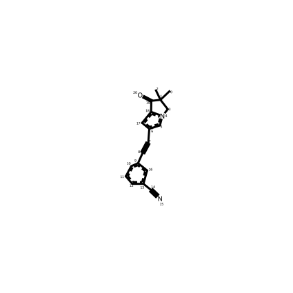 CC1(C)Cn2cc(C#Cc3cccc(C#N)c3)cc2C1=O